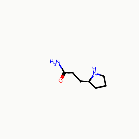 NC(=O)C[CH][C@@H]1CCCN1